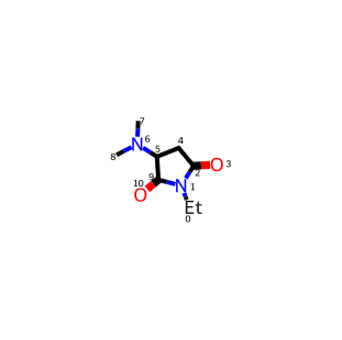 CCN1C(=O)CC(N(C)C)C1=O